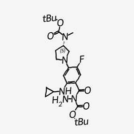 CN(C(=O)OC(C)(C)C)[C@H]1CCN(c2cc(NC3CC3)c(C(=O)N(N)C(=O)OC(C)(C)C)cc2F)C1